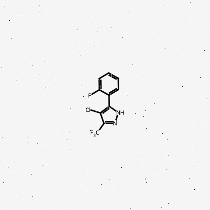 Fc1ccccc1-c1[nH]nc(C(F)(F)F)c1Cl